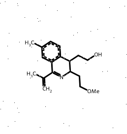 C=C(C)C1=NC(CCOC)C(CCO)c2ccc(C)cc21